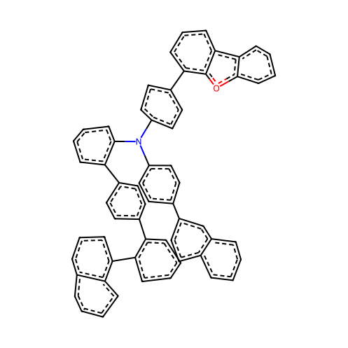 c1ccc(-c2cccc3ccccc23)c(-c2ccc(-c3ccccc3N(c3ccc(-c4ccc5ccccc5c4)cc3)c3ccc(-c4cccc5c4oc4ccccc45)cc3)cc2)c1